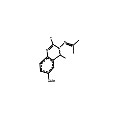 COc1ccc2c(c1)C(C)N(N=C(C)C)C(Cl)=N2